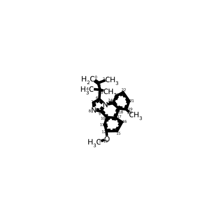 C=C(C)C(C)(C)c1cnc2c3cc(OC)ccc3c3c(C)cccc3n12